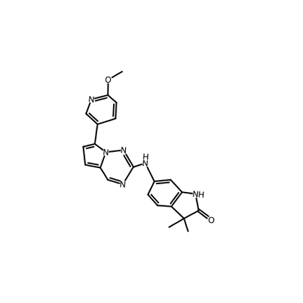 COc1ccc(-c2ccc3cnc(Nc4ccc5c(c4)NC(=O)C5(C)C)nn23)cn1